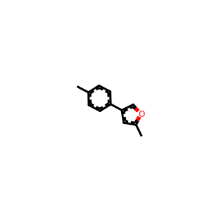 Cc1ccc(-c2coc(C)c2)cc1